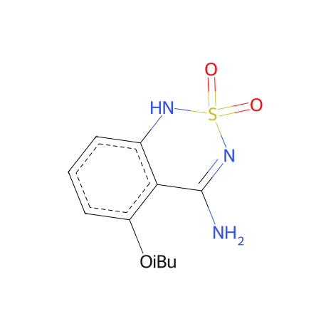 CC(C)COc1cccc2c1C(N)=NS(=O)(=O)N2